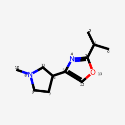 CC(C)c1nc(C2CCN(C)C2)co1